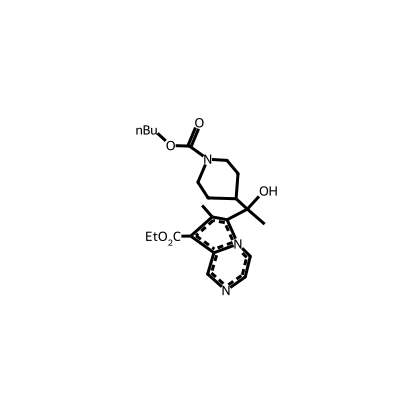 CCCCOC(=O)N1CCC(C(C)(O)c2c(C)c(C(=O)OCC)c3cnccn23)CC1